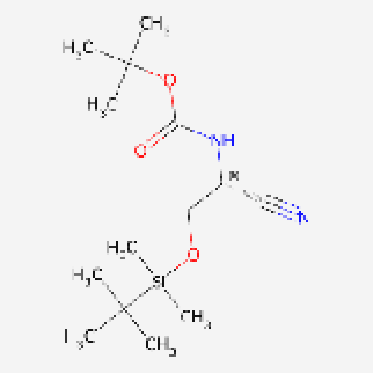 CC(C)(C)OC(=O)N[C@H](C#N)CO[Si](C)(C)C(C)(C)C